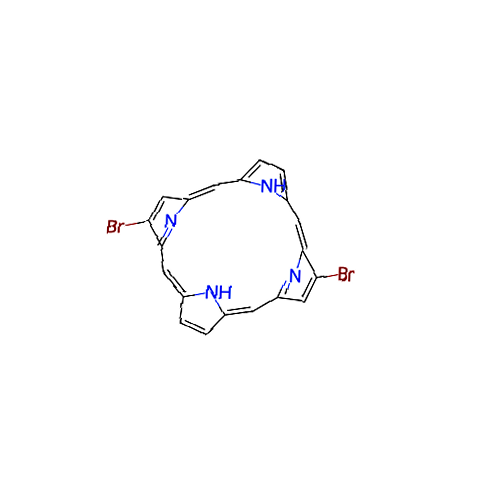 BrC1=Cc2cc3ccc(cc4nc(cc5ccc(cc1n2)[nH]5)C=C4Br)[nH]3